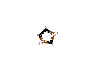 c1c[s+]cs1